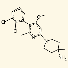 COc1cc(N2CCC(C)(N)CC2)nc(C)c1-c1cccc(Cl)c1Cl